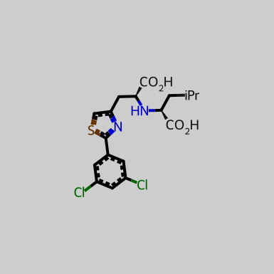 CC(C)C[C@H](N[C@@H](Cc1csc(-c2cc(Cl)cc(Cl)c2)n1)C(=O)O)C(=O)O